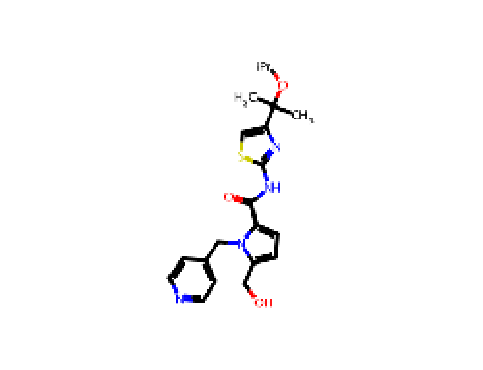 CC(C)OC(C)(C)c1csc(NC(=O)c2ccc(CO)n2Cc2ccncc2)n1